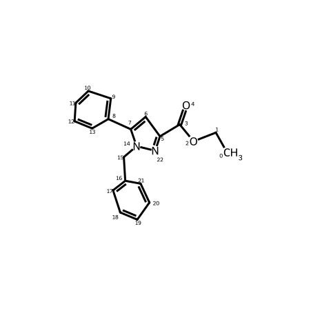 CCOC(=O)c1cc(-c2ccccc2)n(Cc2ccccc2)n1